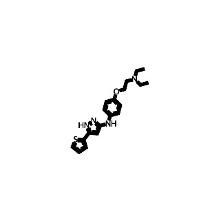 CCN(CC)CCOc1ccc(Nc2cc(-c3cccs3)[nH]n2)cc1